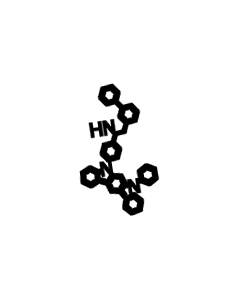 N=C(Cc1cccc(-c2ccccc2)c1)c1ccc(-n2c3ccccc3c3cc4c5ccccc5n(-c5ccccc5)c4cc32)cc1